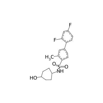 Cc1cc(-c2ccc(F)cc2F)ccc1S(=O)(=O)NC1CCC(O)CC1